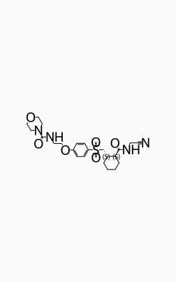 N#CCNC(=O)[C@H]1CCCC[C@@H]1CS(=O)(=O)c1ccc(OCCNC(=O)N2CCOCC2)cc1